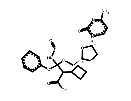 Nc1ccn([C@@H]2CS[C@H](COC(NP=O)(Oc3ccccc3)C(C(=O)O)C3CCC3)O2)c(=O)n1